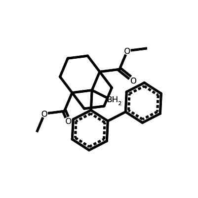 BC1(c2ccccc2-c2ccccc2)C2(C(=O)OC)CCCC1(C(=O)OC)CCC2